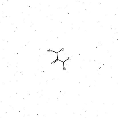 CCCCC(Cl)C(=O)C(CC)CC